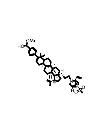 C=C[C@@]12C[C@@H](CN1CCN[C@]13CC[C@@H](C(=C)C)C1[C@H]1CCC4[C@@]5(C)CC=C(c6ccc(C(O)OC)cc6)C(C)(C)C5CC[C@@]4(C)[C@]1(C)CC3)N(S(C)(=O)=O)C2